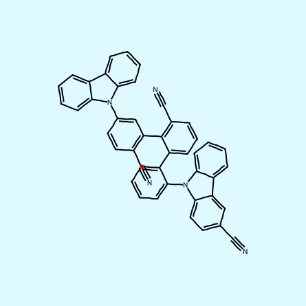 N#Cc1ccc2c(c1)c1ccccc1n2-c1ccccc1-c1cccc(C#N)c1-c1cc(-n2c3ccccc3c3ccccc32)ccc1C#N